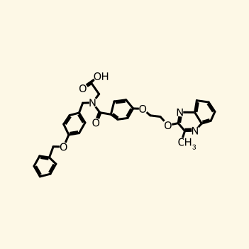 Cc1nc2ccccc2nc1OCCOc1ccc(C(=O)N(CC(=O)O)Cc2ccc(OCc3ccccc3)cc2)cc1